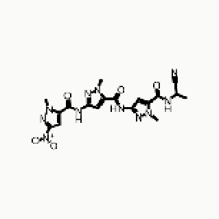 CC(C#N)NC(=O)c1cc(NC(=O)c2cc(NC(=O)c3cc([N+](=O)[O-])nn3C)nn2C)nn1C